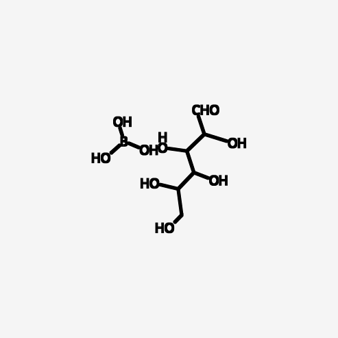 O=CC(O)C(O)C(O)C(O)CO.OB(O)O